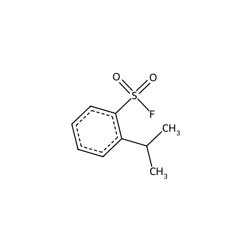 CC(C)c1ccccc1S(=O)(=O)F